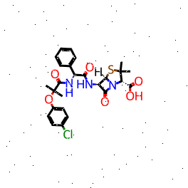 CC(C)(Oc1ccc(Cl)cc1)C(=O)N[C@@H](C(=O)N[C@@H]1C(=O)N2[C@@H]1SC(C)(C)[C@@H]2C(=O)O)c1ccccc1